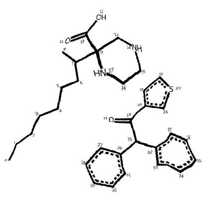 CCCCCCCC(C)C1(C(=O)O)CNCCN1.O=C(c1ccsc1)C(c1ccccc1)c1ccccc1